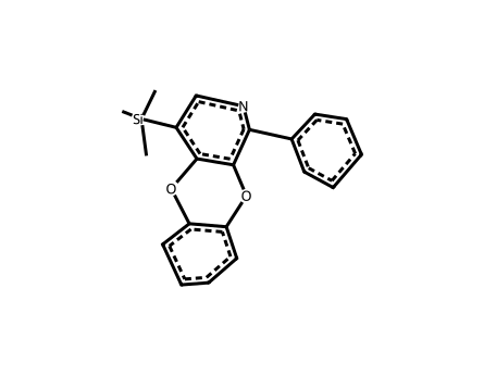 C[Si](C)(C)c1cnc(-c2ccccc2)c2c1Oc1ccccc1O2